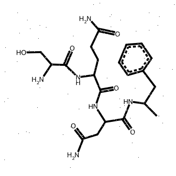 [CH2]C(Cc1ccccc1)NC(=O)C(CC(N)=O)NC(=O)C(CCC(N)=O)NC(=O)C(N)CO